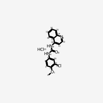 COc1ccc(NC(=O)Nc2ccnc3ccccc23)cc1Cl.Cl